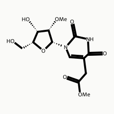 COC(=O)Cc1cn([C@@H]2O[C@H](CO)[C@H](O)[C@@H]2OC)c(=O)[nH]c1=O